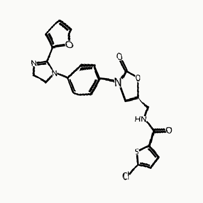 O=C(NC[C@H]1CN(c2ccc(N3CCN=C3c3ccco3)cc2)C(=O)O1)c1ccc(Cl)s1